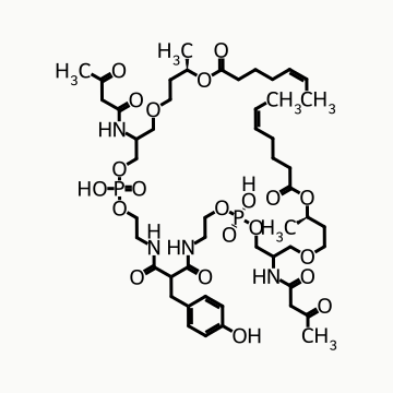 C/C=C\CCCC(=O)O[C@H](C)CCOCC(COP(=O)(O)OCCNC(=O)C(Cc1ccc(O)cc1)C(=O)NCCOP(=O)(O)OCC(COCC[C@@H](C)OC(=O)CCC/C=C\C)NC(=O)CC(C)=O)NC(=O)CC(C)=O